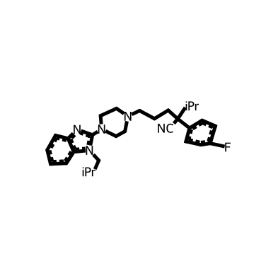 CC(C)Cn1c(N2CCN(CCCC(C#N)(c3ccc(F)cc3)C(C)C)CC2)nc2ccccc21